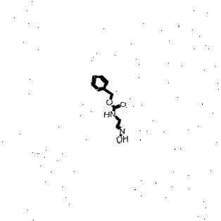 O=C(NCC=NO)OCc1ccccc1